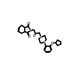 O=C(CN1CCN(c2ccccc2OC2CCCC2)CC1)CN1C(=O)C2CC=CCC2C1=O